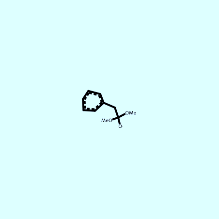 COC([O])(Cc1ccccc1)OC